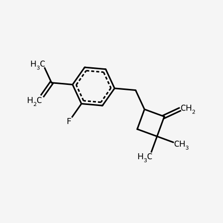 C=C(C)c1ccc(CC2CC(C)(C)C2=C)cc1F